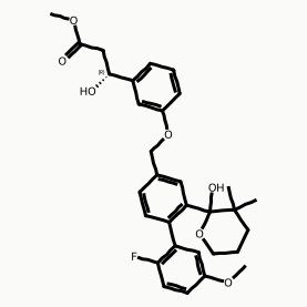 COC(=O)C[C@@H](O)c1cccc(OCc2ccc(-c3cc(OC)ccc3F)c(C3(O)OCCCC3(C)C)c2)c1